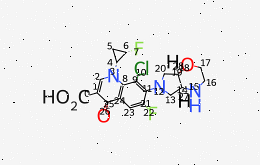 O=C(O)c1cn([C@@H]2C[C@@H]2F)c2c(Cl)c(N3C[C@@H]4NCCO[C@@H]4C3)c(F)cc2c1=O